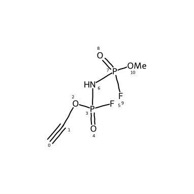 C#COP(=O)(F)NP(=O)(F)OC